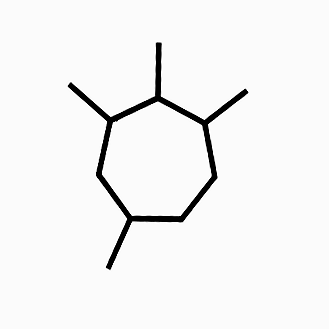 C[C]1CC(C)CCC(C)C1C